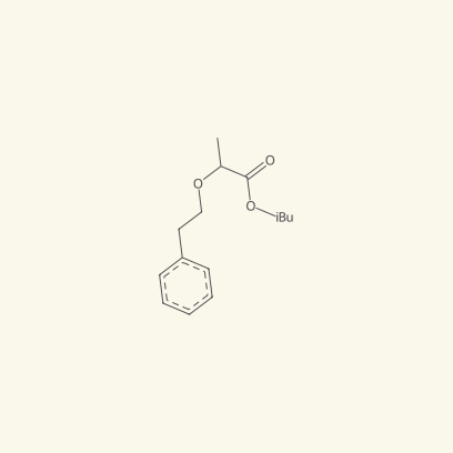 CCC(C)OC(=O)C(C)OCCc1ccccc1